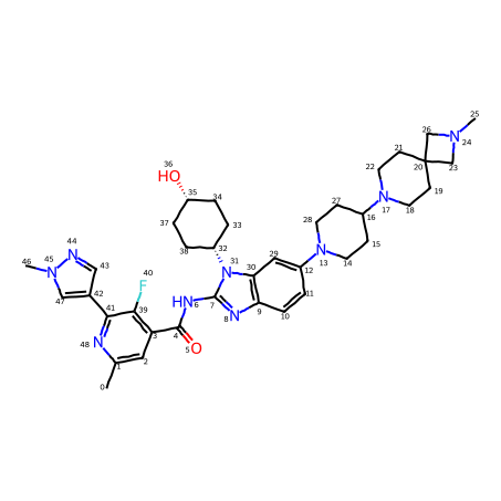 Cc1cc(C(=O)Nc2nc3ccc(N4CCC(N5CCC6(CC5)CN(C)C6)CC4)cc3n2[C@H]2CC[C@@H](O)CC2)c(F)c(-c2cnn(C)c2)n1